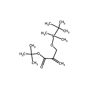 C=C(CO[Si](C)(C)C(C)(C)C)C(=O)OC(C)(C)C